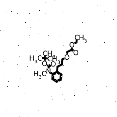 CCOC(=O)COCCCc1ccccc1N(C)C(=O)OC(C)(C)C